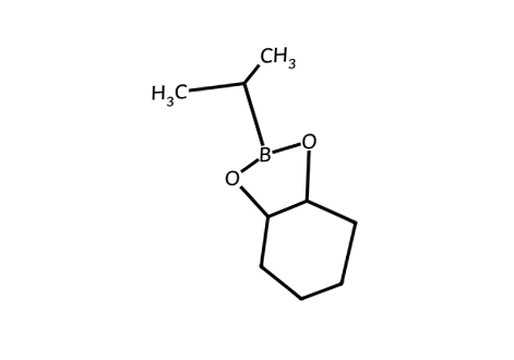 CC(C)B1OC2CCCCC2O1